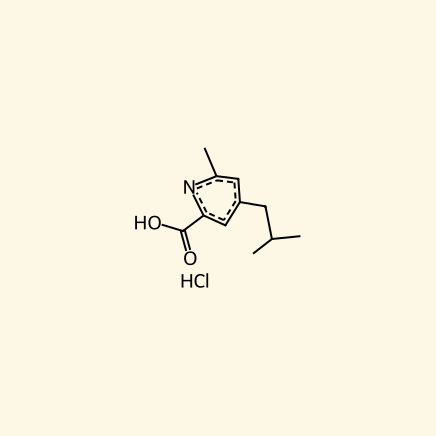 Cc1cc(CC(C)C)cc(C(=O)O)n1.Cl